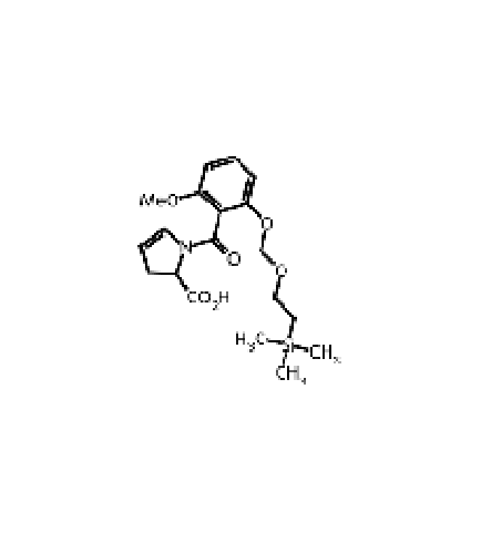 COc1cccc(OCOCC[Si](C)(C)C)c1C(=O)N1C=CCC1C(=O)O